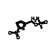 CP(N)(=O)OCc1ccc([N+](=O)[O-])s1